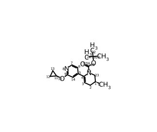 C[C@H]1CC=C(c2ccnc(OC3CC3)c2)N(C(=O)OC(C)(C)C)C1